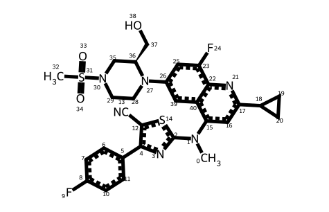 CN(c1nc(-c2ccc(F)cc2)c(C#N)s1)c1cc(C2CC2)nc2c(F)cc(N3CCN(S(C)(=O)=O)C[C@H]3CO)cc12